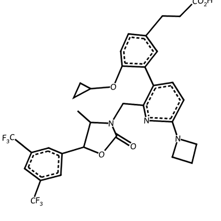 CC1C(c2cc(C(F)(F)F)cc(C(F)(F)F)c2)OC(=O)N1Cc1nc(N2CCC2)ccc1-c1cc(CCC(=O)O)ccc1OC1CC1